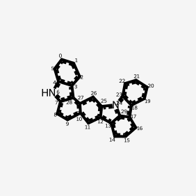 c1ccc2c(c1)[nH]c1ccc3cc4c5cccc6c7ccccc7n(c4cc3c12)c65